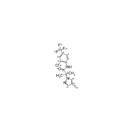 CC(C)(C(=O)Nc1ccc(C(F)(F)F)cc1Cl)n1cc(I)cn1